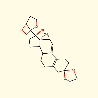 C[C@]12CC=C3C4=C(CCC3C1CC[C@]2(O)C12COC1CCO2)CC1(CC4)OCCO1